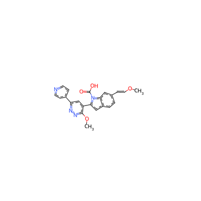 COC=Cc1ccc2cc(-c3cc(-c4ccncc4)nnc3OC)n(C(=O)O)c2c1